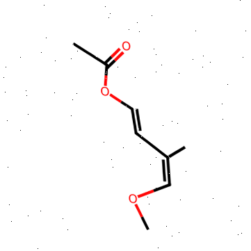 COC=C(C)C=COC(C)=O